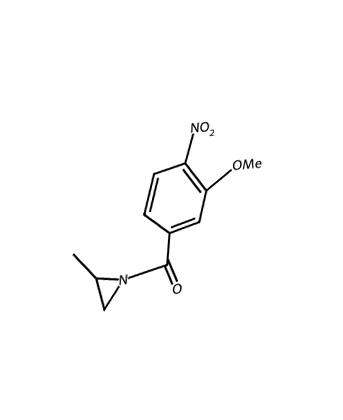 COc1cc(C(=O)N2CC2C)ccc1[N+](=O)[O-]